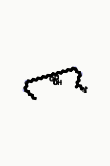 CCCCC/C=C\C/C=C\CCCCCCCCC(CCCCCCCC/C=C\C/C=C\CCCC(C)CCN(C)C)OC(=O)O